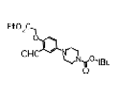 CCOC(=O)COc1ccc(N2CCN(C(=O)OC(C)(C)C)CC2)cc1C=O